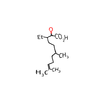 CCC(CCC(C)CCC=C(C)C)C(=O)C(=O)O